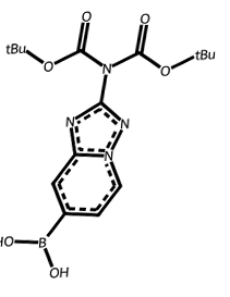 CC(C)(C)OC(=O)N(C(=O)OC(C)(C)C)c1nc2cc(B(O)O)ccn2n1